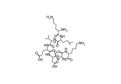 CSCCC(NC(=O)C(N)CCCCN)C(=O)NC(C(=O)NC(CCC(=O)O)C(=O)NC(CC(=O)O)C(=O)NC(C)C(=O)NC(CCCCN)C(=O)O)C(C)C